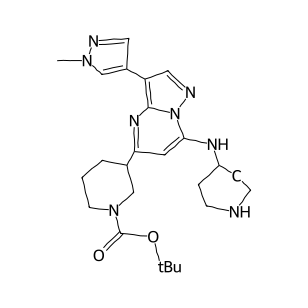 Cn1cc(-c2cnn3c(NC4CCNCC4)cc(C4CCCN(C(=O)OC(C)(C)C)C4)nc23)cn1